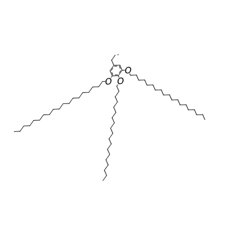 [CH2]Cc1cc(OCCCCCCCCCCCCCCCCCCC)c(OCCCCCCCCCCCCCCCCCCC)c(OCCCCCCCCCCCCCCCCCCC)c1